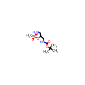 CC(C)(C)OC(=O)NCC(CN)OS(C)(=O)=O